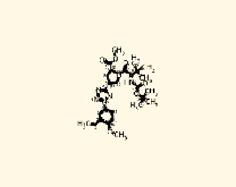 C=Cc1cc(-n2nnc([C@@H]3C[C@@H](C(=O)OC)N(C(=O)[C@@H](NC(=O)OC(C)(C)C)C(C)(C)C)C3)n2)ccc1OC